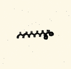 CCC=CCCCCCCC(=O)C=O